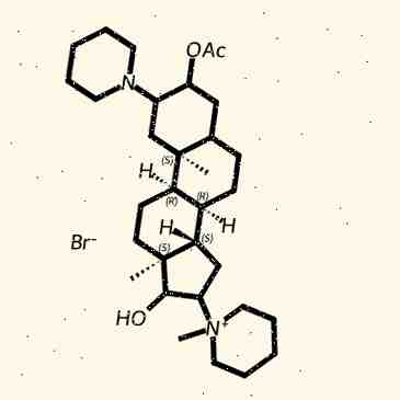 CC(=O)OC1CC2CC[C@@H]3[C@@H](CC[C@]4(C)C(O)C([N+]5(C)CCCCC5)C[C@@H]34)[C@@]2(C)CC1N1CCCCC1.[Br-]